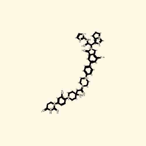 O=C1CCN(c2ccc(N3CCC(O)(CC(=O)N4CCN(c5ccc(-c6cc(F)c7c(c6)C(=O)N(C(C(=O)Nc6nccs6)c6ncn8c6CCC8)C7)cc5)CC4)CC3)c(Cl)c2)C(=O)N1